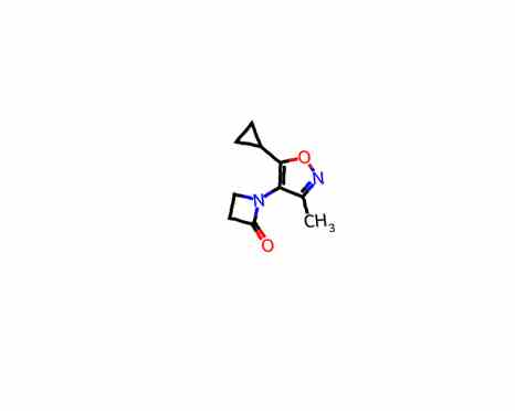 Cc1noc(C2CC2)c1N1CCC1=O